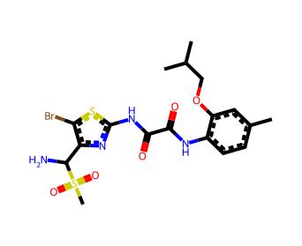 Cc1ccc(NC(=O)C(=O)Nc2nc(C(N)S(C)(=O)=O)c(Br)s2)c(OCC(C)C)c1